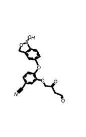 N#Cc1ccc(Oc2ccc3c(c2)COB3O)c(OCC(=O)CC=O)c1